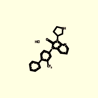 Cl.O=c1n(-c2ccc(-c3ccccc3)c(C(F)(F)F)c2)c2cccnc2n1C1CCNC1